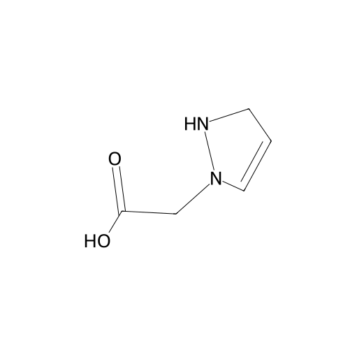 O=C(O)CN1C=CCN1